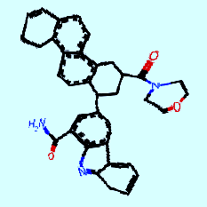 NC(=O)c1cc(C2CC(C(=O)N3CCOCC3)Cc3c2ccc2c4c(ccc32)C=CCC4)cc2c1N=C1CC=CC=C12